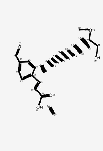 C=C.C=C.C=C.C=C.C=C.C=C.C=C.C=C.C=C.COCCO.O=Cc1ccc(/C=C/C(=O)O)cc1